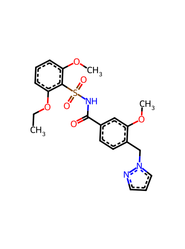 CCOc1cccc(OC)c1S(=O)(=O)NC(=O)c1ccc(Cn2cccn2)c(OC)c1